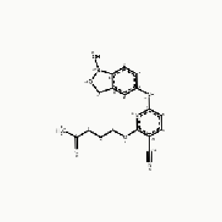 CC(=O)CCCOc1nc(Nc2ccc3c(c2)COB3O)ccc1C#N